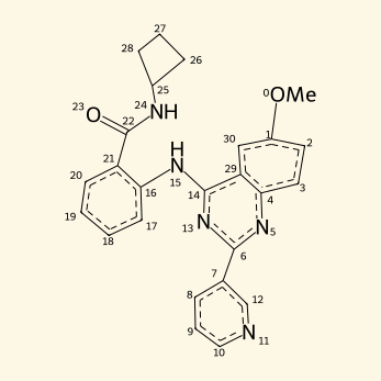 COc1ccc2nc(-c3cccnc3)nc(Nc3ccccc3C(=O)NC3CCC3)c2c1